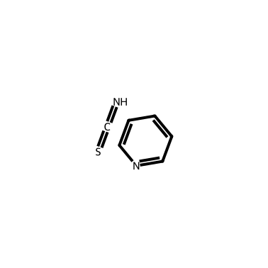 N=C=S.c1ccncc1